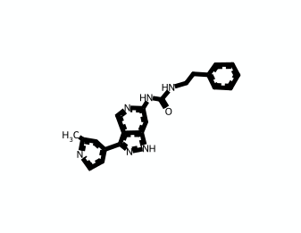 Cc1cc(-c2n[nH]c3cc(NC(=O)NCCc4ccccc4)ncc23)ccn1